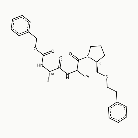 CC(C)C(NC(=O)[C@H](C)NC(=O)OCc1ccccc1)C(=O)N1CCC[C@H]1CSCCc1ccccc1